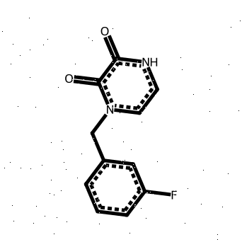 O=c1[nH]ccn(Cc2cccc(F)c2)c1=O